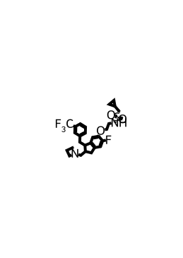 O=S(=O)(CC1CC1)NCCOc1cc2c(cc1F)CC(CN1CCC1)C2Cc1cccc(C(F)(F)F)c1